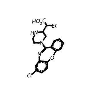 CCC(C(=O)O)C1CN(C2=Nc3cc(Cl)ccc3Oc3ccccc32)CCN1